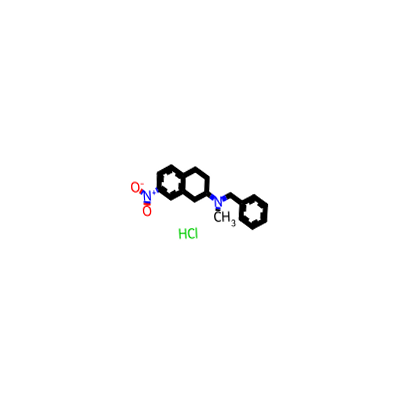 CN(Cc1ccccc1)C1CCc2ccc([N+](=O)[O-])cc2C1.Cl